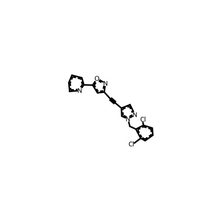 Clc1cccc(Cl)c1Cn1cc(C#Cc2cc(-c3ccccn3)on2)cn1